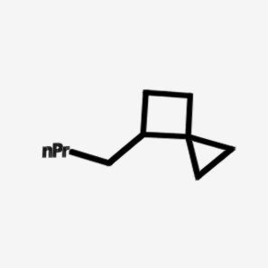 CCCCC1CCC12CC2